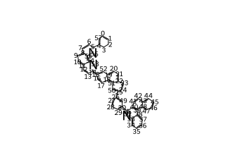 C1=CCCC(c2ccc3ccc4ccc(-c5ccc6c(ccc7ccc(-c8cccc(-c9nc%10ccccc%10c%10c9ccc9ccccc9%10)c8)cc76)c5)nc4c3n2)=C1